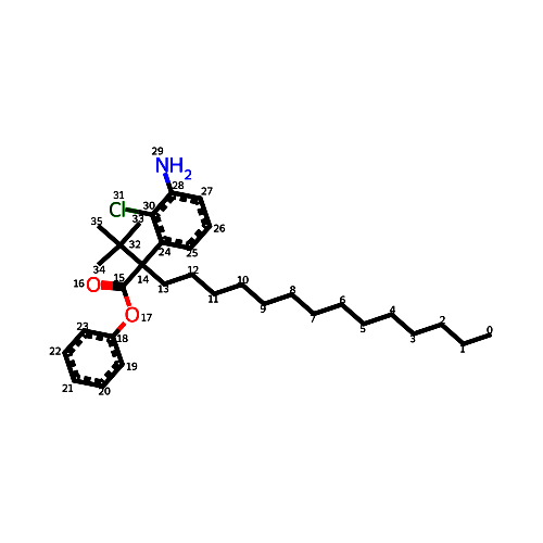 CCCCCCCCCCCCCCC(C(=O)Oc1ccccc1)(c1cccc(N)c1Cl)C(C)(C)C